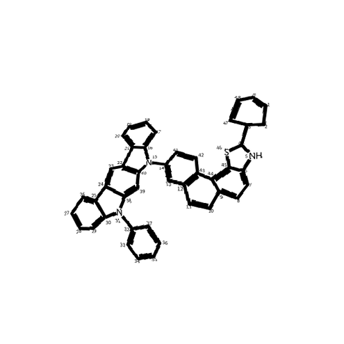 C1=CCC(C2Nc3ccc4ccc5cc(-n6c7ccccc7c7cc8c9ccccc9n(-c9ccccc9)c8cc76)ccc5c4c3S2)C=C1